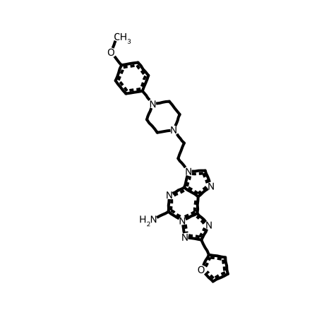 COc1ccc(N2CCN(CCn3cnc4c3nc(N)n3nc(-c5ccco5)nc43)CC2)cc1